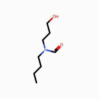 CCCCN([C]=O)CCCO